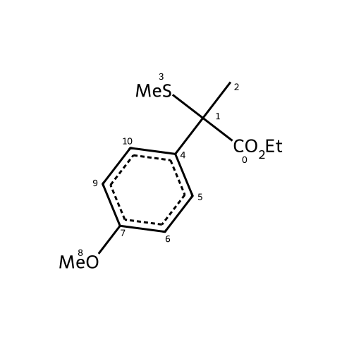 CCOC(=O)C(C)(SC)c1ccc(OC)cc1